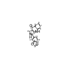 O=c1c2c([nH]c3ccccc13)[C@@H](c1ccc3c(c1)OCO3)NC2